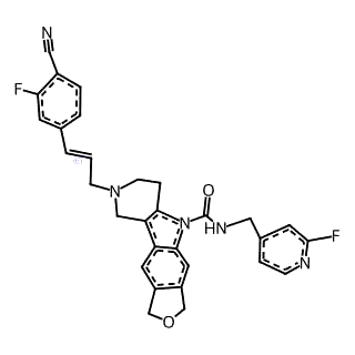 N#Cc1ccc(/C=C/CN2CCc3c(c4cc5c(cc4n3C(=O)NCc3ccnc(F)c3)COC5)C2)cc1F